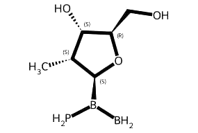 BB(P)[C@@H]1O[C@H](CO)[C@@H](O)[C@H]1C